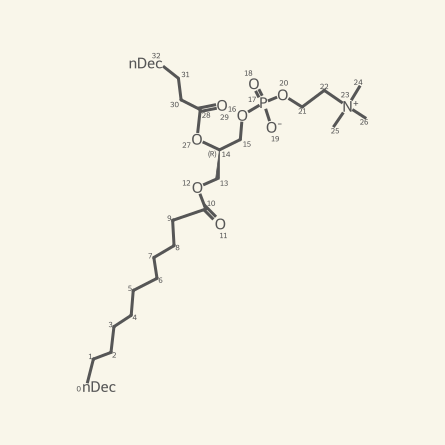 CCCCCCCCCCCCCCCCCCCC(=O)OC[C@H](COP(=O)([O-])OCC[N+](C)(C)C)OC(=O)CCCCCCCCCCCC